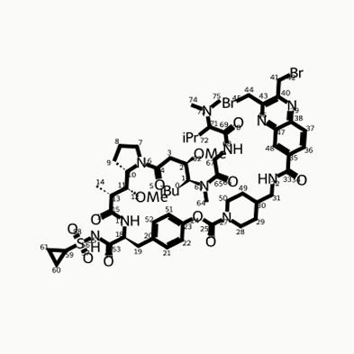 CC[C@H](C)[C@@H]([C@@H](CC(=O)N1CCC[C@H]1[C@H](OC)[C@@H](C)C(=O)N[C@@H](Cc1ccc(OC(=O)N2CCC(CNC(=O)c3ccc4nc(CBr)c(CBr)nc4c3)CC2)cc1)C(=O)NS(=O)(=O)C1CC1)OC)N(C)C(=O)CNC(=O)C(C(C)C)N(C)C